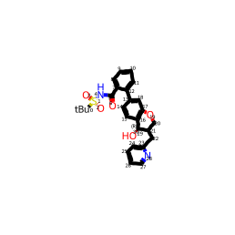 CC(C)(C)S(=O)(=O)NC(=O)c1ccccc1-c1ccc2c(c1)OCC(Cc1ccccn1)[C@H]2O